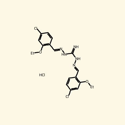 CCOc1cc(Cl)ccc1C=NNC(=N)NN=Cc1ccc(Cl)cc1OCC.Cl